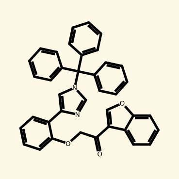 O=C(COc1ccccc1-c1cn(C(c2ccccc2)(c2ccccc2)c2ccccc2)cn1)c1coc2ccccc12